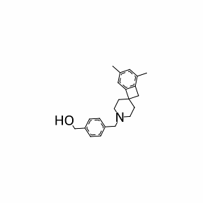 Cc1cc(C)c2c(c1)C1(CCN(Cc3ccc(CO)cc3)CC1)C2